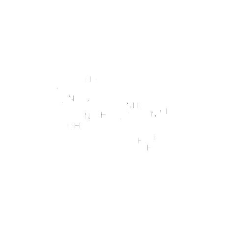 CC1CCC(NC(=O)C2=CC(C(F)(F)F)=CN(C)C2)C[C@@H]2C1[C@@]21C=NC2=C(C1)N1CCOCC13CC3C2O